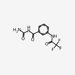 NC(=O)NC(=O)c1cccc(NC(=O)C(F)(F)F)c1